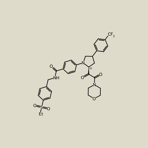 CCS(=O)(=O)c1ccc(CNC(=O)c2ccc(N3CC(c4ccc(C(F)(F)F)cc4)C[C@H]3C(=O)C(=O)N3CCOCC3)cc2)cc1